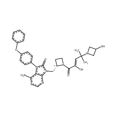 CC(C)(C=C(C#N)C(=O)N1CC[C@H]1Cn1c(=O)n(-c2ccc(Oc3ccccc3)cc2)c2c(N)ncnc21)N1CC(O)C1